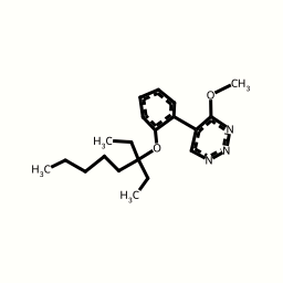 CCCCCC(CC)(CC)Oc1ccccc1-c1cnnnc1OC